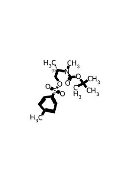 Cc1ccc(S(=O)(=O)OC[C@H](C)N(C)C(=O)OC(C)(C)C)cc1